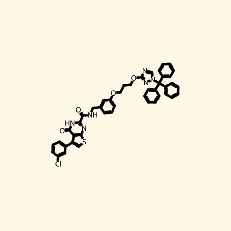 O=C(NCc1cccc(OCCCOc2ncn(C(c3ccccc3)(c3ccccc3)c3ccccc3)n2)c1)c1nc2scc(-c3cccc(Cl)c3)c2c(=O)[nH]1